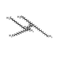 CCCCCCCCCCCCCCCCCC(CCCCCCCCCCCC)OC(=O)C(C)SC(C)C(=O)OC(CCCCCCCCCCCC)CCCCCCCCCCCCCCCCC